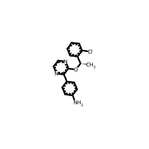 C[C@H](Oc1nccnc1-c1ccc(N)cc1)c1ccccc1Cl